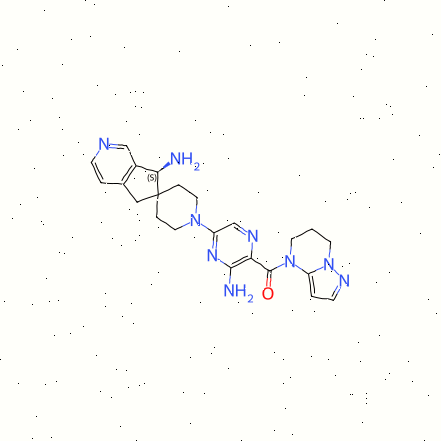 Nc1nc(N2CCC3(CC2)Cc2ccncc2[C@H]3N)cnc1C(=O)N1CCCn2nccc21